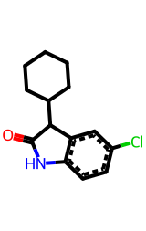 O=C1Nc2ccc(Cl)cc2C1C1CCCCC1